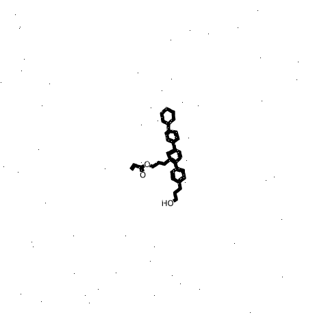 C=CC(=O)OCCCc1cc(-c2ccc(C3CCCCC3)cc2)ccc1-c1ccc(CCCO)cc1